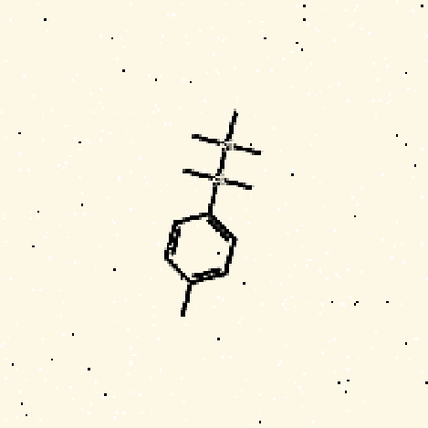 Cc1ccc([Si](C)(C)[Si](C)(C)C)cc1